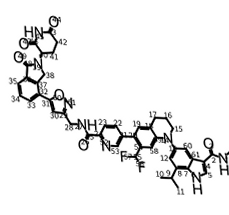 CNC(=O)c1c[nH]c2c(C(C)C)cc(N3CCCc4cc(-c5ccc(C(=O)NCc6cc(-c7cccc8c7CN(C7CCC(=O)NC7=O)C8=O)on6)nc5)c(C(F)F)cc43)cc12